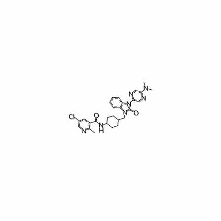 Cc1ncc(Cl)cc1C(=O)NC1CCC(Cn2c(=O)n(-c3cnc(N(C)C)cn3)c3ccccc32)CC1